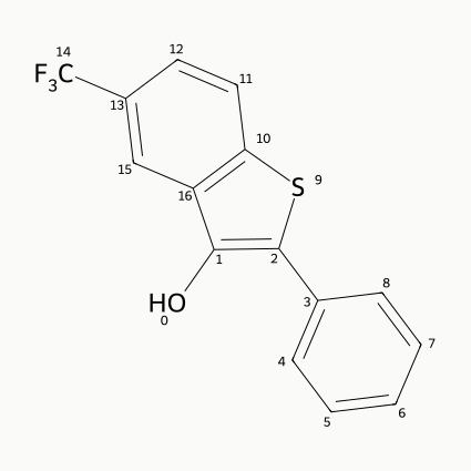 Oc1c(-c2ccccc2)sc2ccc(C(F)(F)F)cc12